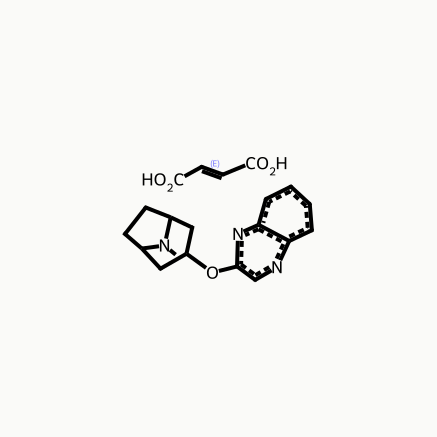 CN1C2CCC1CC(Oc1cnc3ccccc3n1)C2.O=C(O)/C=C/C(=O)O